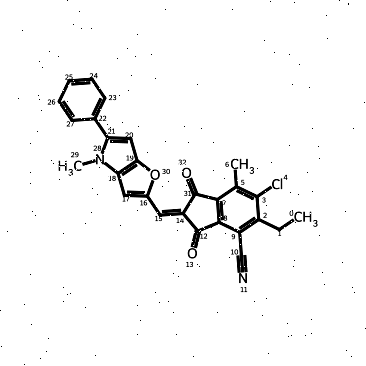 CCc1c(Cl)c(C)c2c(c1C#N)C(=O)/C(=C/c1cc3c(cc(-c4ccccc4)n3C)o1)C2=O